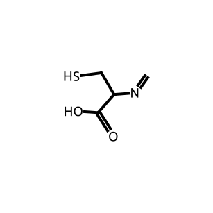 C=NC(CS)C(=O)O